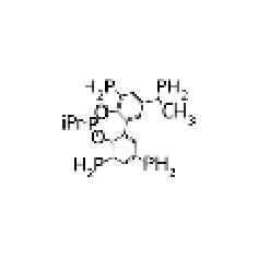 CC(C)p1oc2c(P)cc(P)cc2c2cc([C@H](C)P)cc(P)c2o1